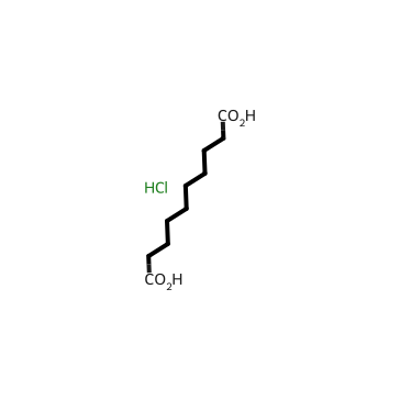 Cl.O=C(O)CCCCCCCCC(=O)O